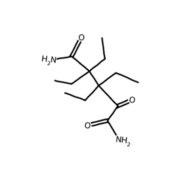 CCC(CC)(C(N)=O)C(CC)(CC)C(=O)C(N)=O